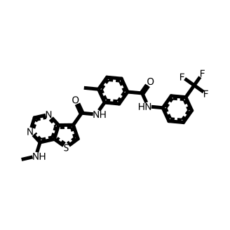 CNc1ncnc2c(C(=O)Nc3cc(C(=O)Nc4cccc(C(F)(F)F)c4)ccc3C)csc12